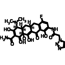 CN(C)[C@@H]1C(O)=C(C(N)=O)C(=O)[C@@]2(O)C(O)=C3C(=O)c4c(O)c(NC(=O)Cn5ccnn5)cc(F)c4C[C@H]3C[C@@H]12